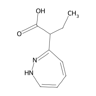 CCC(C(=O)O)C1=NNC=CC=C1